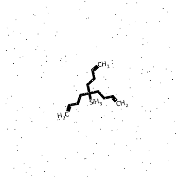 C=CCCC([SiH3])(CCC=C)CCC=C